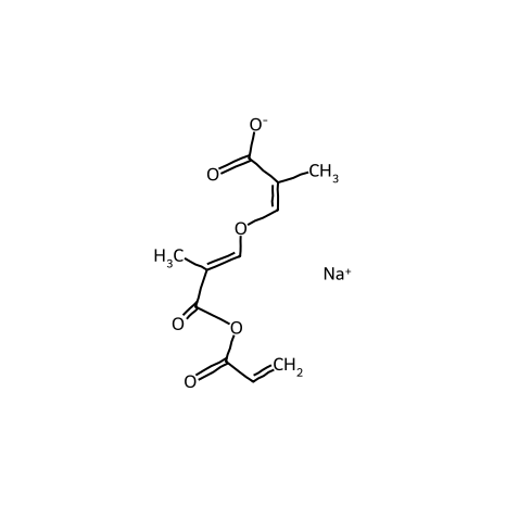 C=CC(=O)OC(=O)C(C)=COC=C(C)C(=O)[O-].[Na+]